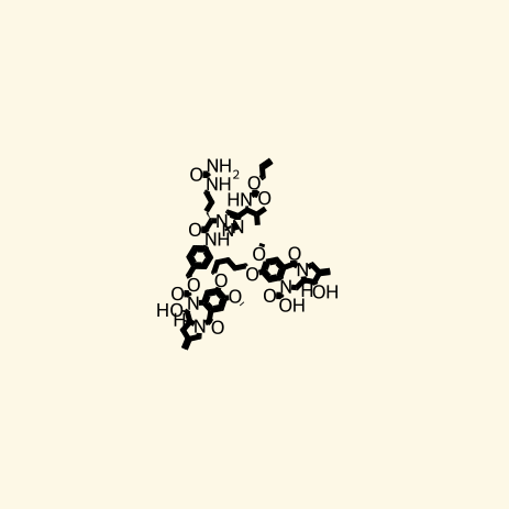 C=CCOC(=O)N[C@H](c1cn([C@@H](CCCNC(N)=O)C(=O)Nc2ccc(COC(=O)N3c4cc(OCCCCCOc5cc6c(cc5OC)C(=O)N5CC(=C)C(O)[C@@H]5CN6C(=O)O)c(OC)cc4C(=O)N4CC(=C)C[C@H]4[C@@H]3O)cc2)nn1)C(C)C